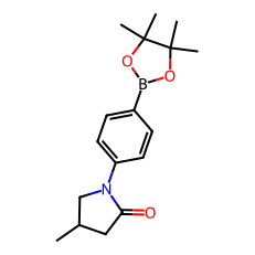 CC1CC(=O)N(c2ccc(B3OC(C)(C)C(C)(C)O3)cc2)C1